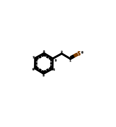 S=CCc1[c]cccc1